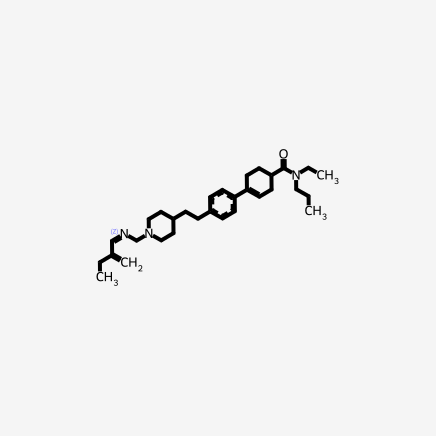 C=C(/C=N\CN1CCC(CCc2ccc(C3=CCC(C(=O)N(CC)CCC)CC3)cc2)CC1)CC